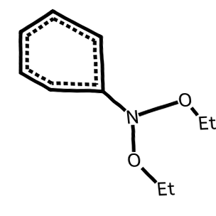 CCON(OCC)c1ccccc1